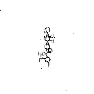 O=c1c(Cl)c(N2CCn3c(C(O)c4ccc(F)cc4C(F)F)cnc3C2)cnn1C1CCCCO1